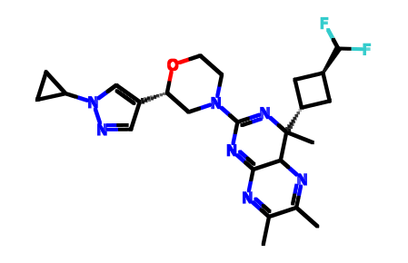 CC1=NC2=NC(N3CCO[C@@H](c4cnn(C5CC5)c4)C3)=NC(C)([C@H]3C[C@H](C(F)F)C3)C2N=C1C